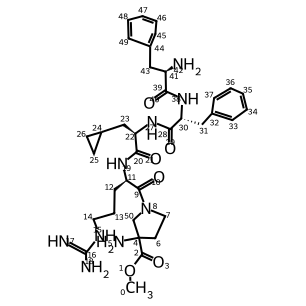 COC(=O)C1(N)CCN(C(=O)[C@@H](CCCNC(=N)N)NC(=O)[C@@H](CC2CC2)NC(=O)[C@@H](Cc2ccccc2)NC(=O)[C@H](N)Cc2ccccc2)C1